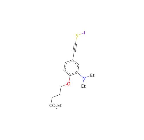 CCOC(=O)CCCOc1ccc(C#CSI)cc1N(CC)CC